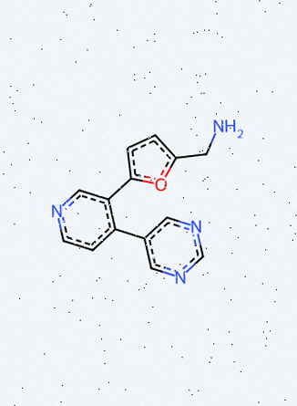 NCc1ccc(-c2cnccc2-c2cncnc2)o1